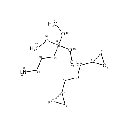 C(OCC1CO1)C1CO1.CO[Si](CCCN)(OC)OC